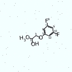 CC(O)COc1cc(F)cc(F)c1